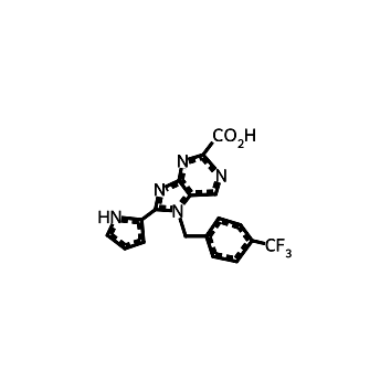 O=C(O)c1ncc2c(n1)nc(-c1ccc[nH]1)n2Cc1ccc(C(F)(F)F)cc1